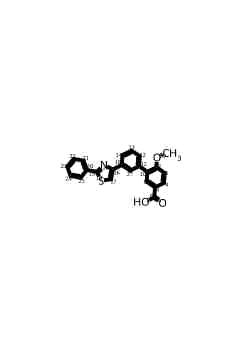 COc1ccc(C(=O)O)cc1-c1cccc(-c2csc(-c3ccccc3)n2)c1